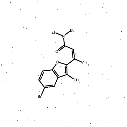 CCN(CC)C(=O)/C=C(/C)c1oc2ccc(Br)cc2c1C